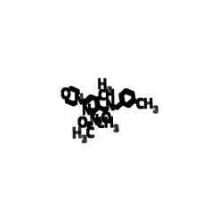 CC(=O)N(C)c1nc(N2CCOCC2)cc(C)c1C(=O)NCc1cccc(C)c1